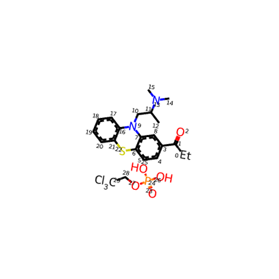 CCC(=O)c1ccc2c(c1)N(CC(C)N(C)C)c1ccccc1S2.O=P(O)(O)OCC(Cl)(Cl)Cl